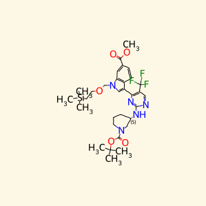 COC(=O)c1ccc2c(-c3nc(N[C@H]4CCCN(C(=O)OC(C)(C)C)C4)ncc3C(F)(F)F)cn(COCC[Si](C)(C)C)c2c1